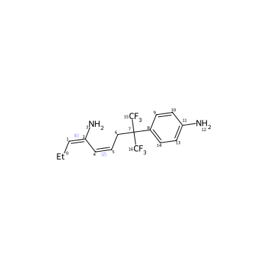 CC/C=C(N)\C=C/CC(c1ccc(N)cc1)(C(F)(F)F)C(F)(F)F